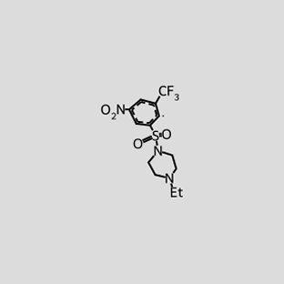 CCN1CCN(S(=O)(=O)c2[c]c(C(F)(F)F)cc([N+](=O)[O-])c2)CC1